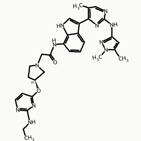 CCNc1nccc(O[C@H]2CCN(CC(=O)Nc3cccc4c(-c5nc(Nc6cc(C)n(C)n6)ncc5C)c[nH]c34)C2)n1